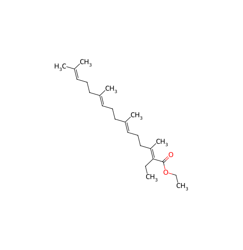 CCOC(=O)/C(CC)=C(\C)CC/C=C(\C)CC/C=C(\C)CCC=C(C)C